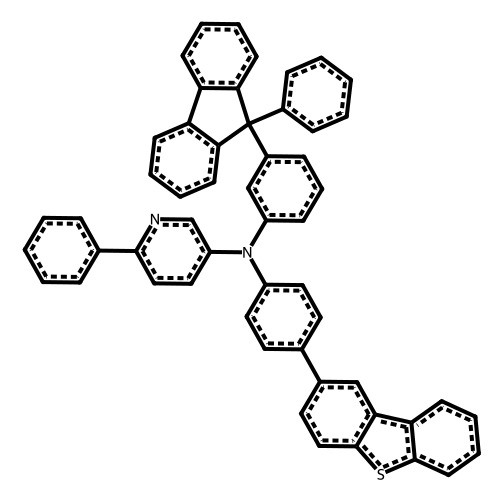 c1ccc(-c2ccc(N(c3ccc(-c4ccc5sc6ccccc6c5c4)cc3)c3cccc(C4(c5ccccc5)c5ccccc5-c5ccccc54)c3)cn2)cc1